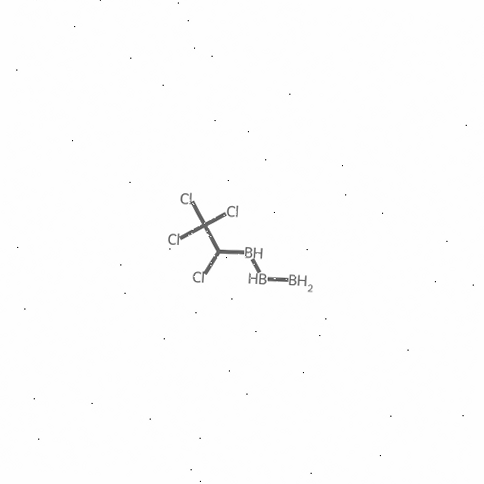 BBBC(Cl)C(Cl)(Cl)Cl